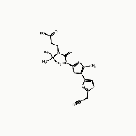 Cc1nc(NC(=O)N(CCC(=O)O)C(C)(C)C)sc1-c1csc(CC#N)n1